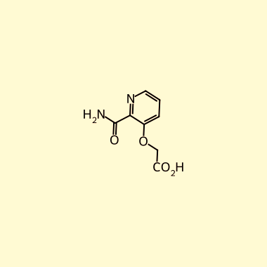 NC(=O)c1ncccc1OCC(=O)O